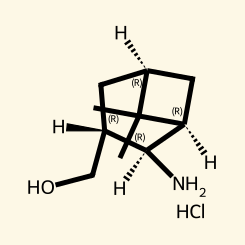 CC1(C)[C@H]2C[C@@H](CO)[C@H](N)[C@@H]1C2.Cl